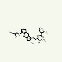 CCC(C)C(=O)OC(CCC1C2Cc3cccc(OCC(=O)O)c3CC2C[C@H]1O)NC